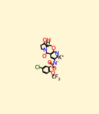 O=C1c2cc([N-]S(=O)(=O)c3cc(Cl)ccc3OC(F)(F)F)cnc2OC[C@H]2[C@@H](O)CCN12.[K+]